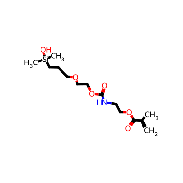 C=C(C)C(=O)OCCNC(=O)OCCOCCC[Si](C)(C)O